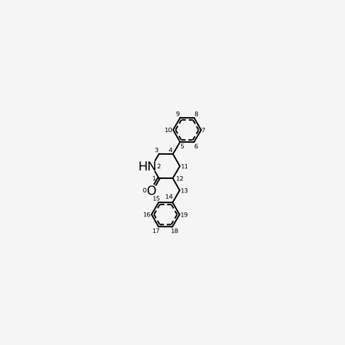 O=C1NCC(c2ccccc2)CC1Cc1ccccc1